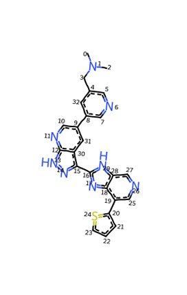 CN(C)Cc1cncc(-c2cnc3[nH]nc(-c4nc5c(-c6cccs6)cncc5[nH]4)c3c2)c1